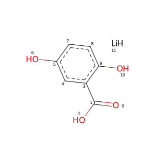 O=C(O)c1cc(O)ccc1O.[LiH]